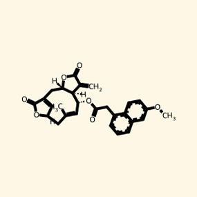 C=C1C(=O)O[C@H]2CC3=C[C@@H](C/C(C)=C/[C@@H](OC(=O)Cc4cccc5cc(OC)ccc45)[C@H]12)OC3=O